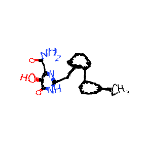 Cc1cccc(-c2ccccc2Cc2nc(C(N)=O)c(O)c(=O)[nH]2)c1